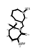 CCN1CCCCC(CN2C(=O)C(NC)CCCC2(C)C)C1